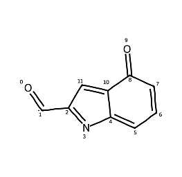 O=[C]C1=NC2=CC=CC(=O)C2=C1